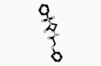 O=C(COc1ccccc1)N[C@H]1CN(S(=O)(=O)c2ccccc2)C1=O